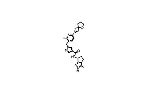 Cc1nc(N2CC3(CCCO3)C2)ccc1Cn1cc(C(=O)N[C@@H]2CCc3c2n[nH]c3C)cn1